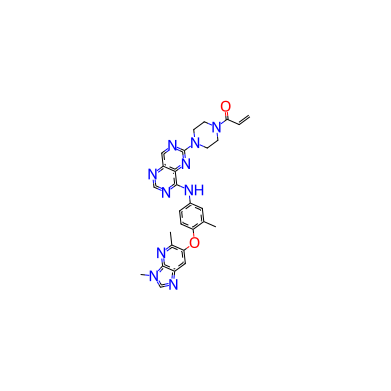 C=CC(=O)N1CCN(c2ncc3ncnc(Nc4ccc(Oc5cc6ncn(C)c6nc5C)c(C)c4)c3n2)CC1